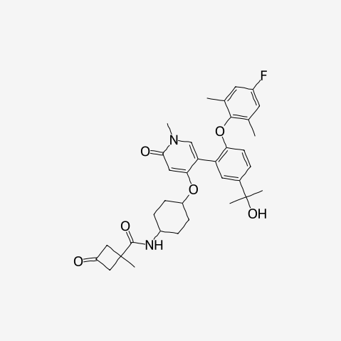 Cc1cc(F)cc(C)c1Oc1ccc(C(C)(C)O)cc1-c1cn(C)c(=O)cc1OC1CCC(NC(=O)C2(C)CC(=O)C2)CC1